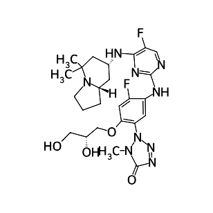 Cn1c(=O)nnn1-c1cc(Nc2ncc(F)c(N[C@@H]3C[C@@H]4CCCN4C(C)(C)C3)n2)c(F)cc1OC[C@H](O)CO